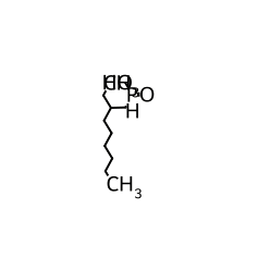 CCCCCCC(CC)C[PH](=O)O